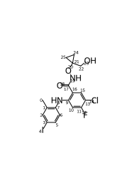 Cc1cc(I)ccc1Nc1cc(F)c(Cl)cc1C(=O)NOC1(CO)CC1